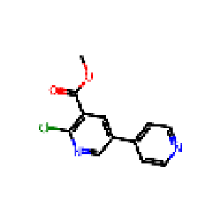 COC(=O)c1cc(-c2ccncc2)cnc1Cl